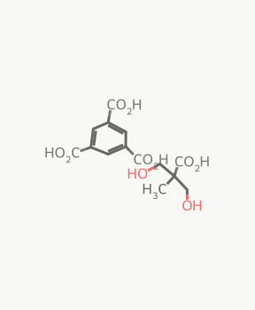 CC(CO)(CO)C(=O)O.O=C(O)c1cc(C(=O)O)cc(C(=O)O)c1